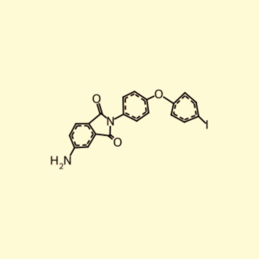 Nc1ccc2c(c1)C(=O)N(c1ccc(Oc3ccc(I)cc3)cc1)C2=O